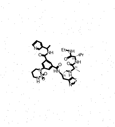 CCNC(=O)[C@@H](NC(=O)[C@H](C)NC[C@H](Cc1cscn1)NC(=O)c1cc(C(=O)NC(C)c2cccnc2)cc(N2CCCNS2(=O)=O)c1)C(C)C